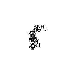 NS(=O)(=O)OC[C@@H]1CC[C@H](n2cnc3c(-c4ccccc4Cl)ncnc32)O1